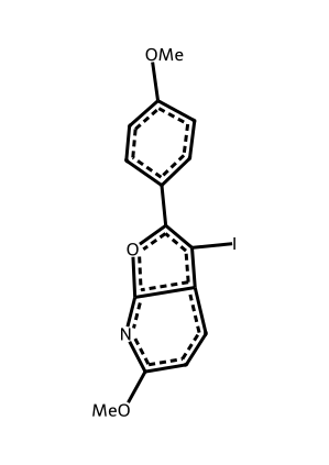 COc1ccc(-c2oc3nc(OC)ccc3c2I)cc1